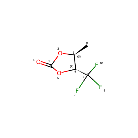 C[C@@H]1OC(=O)O[C@H]1C(F)(F)F